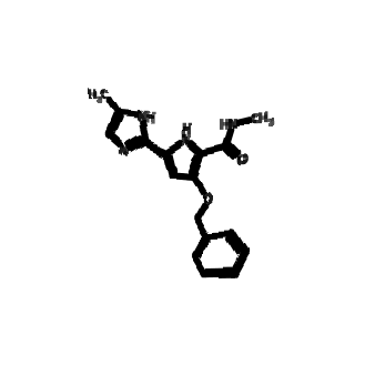 CNC(=O)c1[nH]c(-c2ncc(C)[nH]2)cc1OCc1ccccc1